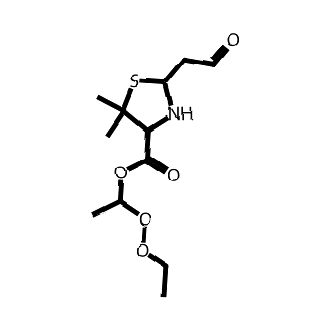 CCOOC(C)OC(=O)C1NC(CC=O)SC1(C)C